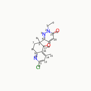 CCn1nc(C2(C)CCc3nc(Cl)cc(C)c3C2=O)ccc1=O